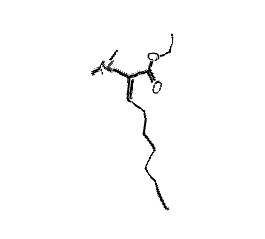 CCCCCCC/C=C(\C(=O)OCC)N(C)C